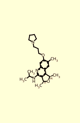 Cc1cc2c3c(c(NC(C)C)nc2cc1OCCCN1CCCC1)[C@H](C)O[C@@H]3C